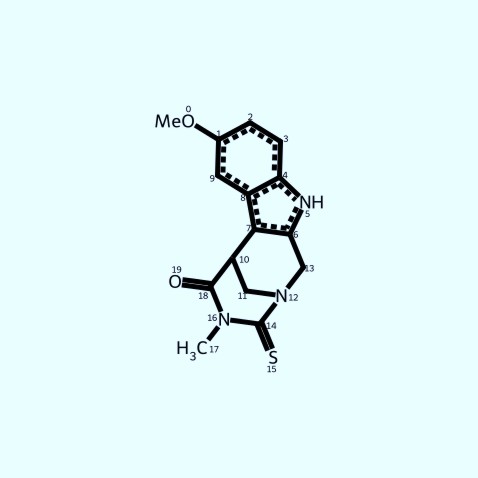 COc1ccc2[nH]c3c(c2c1)C1CN(C3)C(=S)N(C)C1=O